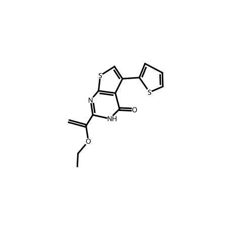 C=C(OCC)c1nc2scc(-c3cccs3)c2c(=O)[nH]1